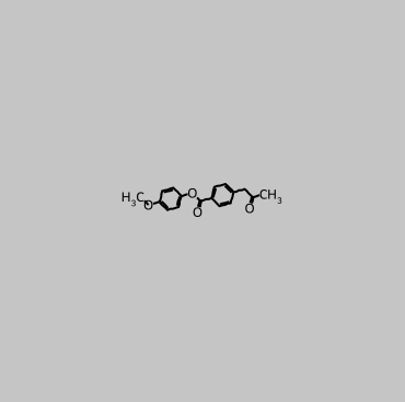 COc1ccc(OC(=O)c2ccc(CC(C)=O)cc2)cc1